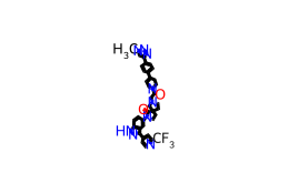 Cn1cc(-c2ccc(C3=CCN(C(=O)CN4CCC5(CCN(c6ccc7[nH]nc(-c8ccnc(C(F)(F)F)c8)c7c6)C5=O)C4)CC3)cc2)nn1